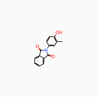 Cc1cc(N2C(=O)c3ccccc3C2=O)ccc1O